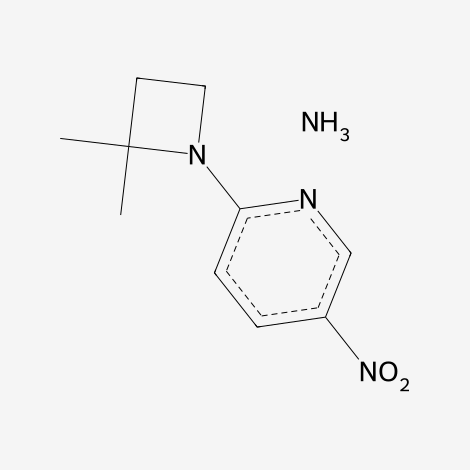 CC1(C)CCN1c1ccc([N+](=O)[O-])cn1.N